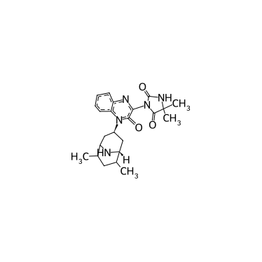 CC1CC(C)[C@H]2C[C@H](n3c(=O)c(N4C(=O)NC(C)(C)C4=O)nc4ccccc43)CC1N2